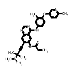 C=CC(=O)Nc1cc2c(Nc3ccc(Oc4ccc(C)nc4)c(C)c3)ncnc2cc1C#CC(C)(C)N(C)C